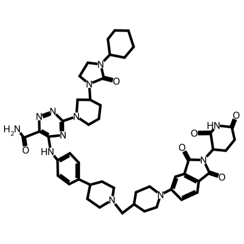 NC(=O)c1nnc(N2CCCC(N3CCN(C4CCCCC4)C3=O)C2)nc1Nc1ccc(C2CCN(CC3CCN(c4ccc5c(c4)C(=O)N(C4CCC(=O)NC4=O)C5=O)CC3)CC2)cc1